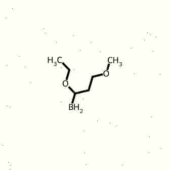 BC(CCOC)OCC